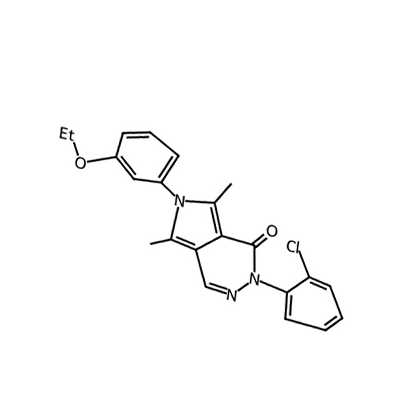 CCOc1cccc(-n2c(C)c3cnn(-c4ccccc4Cl)c(=O)c3c2C)c1